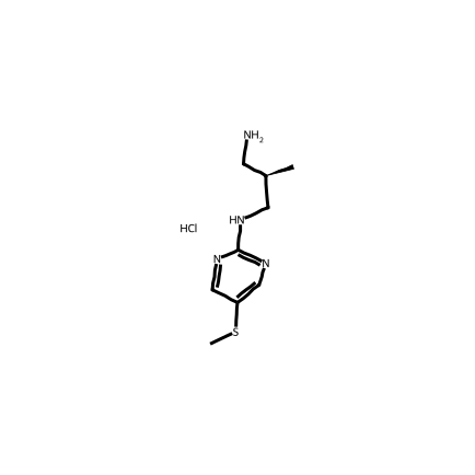 CSc1cnc(NC[C@H](C)CN)nc1.Cl